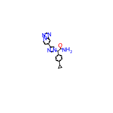 NC(=O)C(c1ccc(C2CC2)cc1)n1cnc(-c2ccn3ncnc3c2)c1